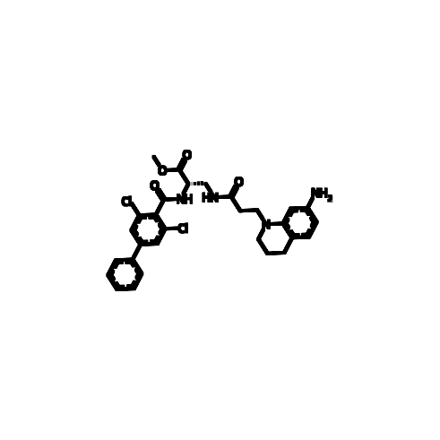 COC(=O)[C@H](CNC(=O)CCN1CCCc2ccc(N)cc21)NC(=O)c1c(Cl)cc(-c2ccccc2)cc1Cl